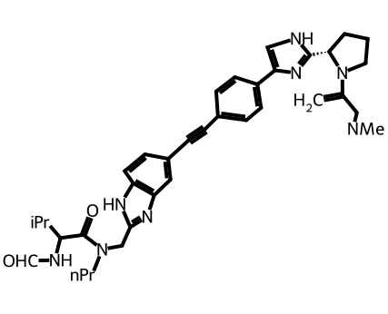 C=C(CNC)N1CCC[C@H]1c1nc(-c2ccc(C#Cc3ccc4[nH]c(CN(CCC)C(=O)C(NC=O)C(C)C)nc4c3)cc2)c[nH]1